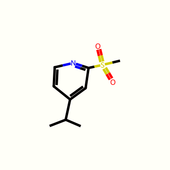 CC(C)c1ccnc(S(C)(=O)=O)c1